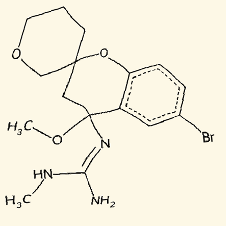 CN/C(N)=N\C1(OC)CC2(CCCOC2)Oc2ccc(Br)cc21